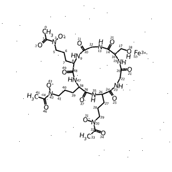 CC(=O)N([O-])CCCC1NC(=O)CNC(=O)C(CO)NC(=O)CNC(=O)C(CCCN([O-])C(C)=O)NC(=O)C(CCCN([O-])C(C)=O)NC1=O.[Fe+3]